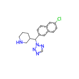 Clc1ccc2cc(C(C3CCCNC3)n3ncnn3)ccc2c1